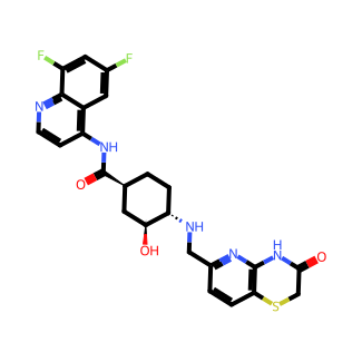 O=C1CSc2ccc(CN[C@H]3CC[C@H](C(=O)Nc4ccnc5c(F)cc(F)cc45)C[C@@H]3O)nc2N1